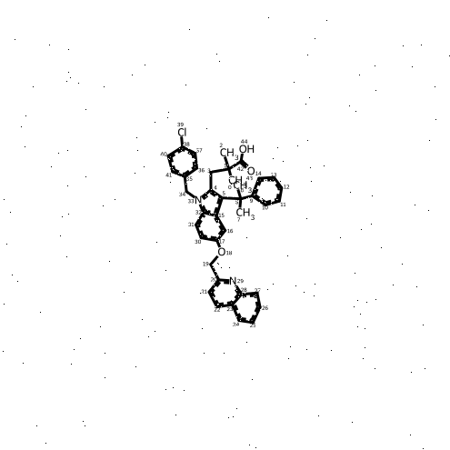 CC(C)(Cc1c(C(C)(C)c2ccccc2)c2cc(OCc3ccc4ccccc4n3)ccc2n1Cc1ccc(Cl)cc1)C(=O)O